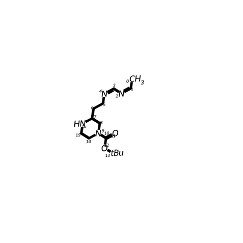 C/C=N\C=N/CCC1CN(C(=O)OC(C)(C)C)CCN1